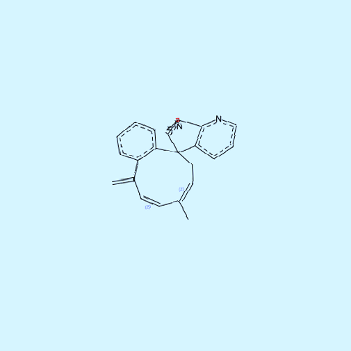 C=C1/C=C\C(C)=C/CC2(c3ccccc31)c1cccnc1-c1ncccc12